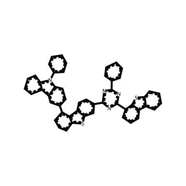 c1ccc(-c2nc(-c3ccc4c(c3)sc3cccc(-c5ccc6c(c5)c5ccccc5n6-c5ccccc5)c34)nc(-c3cccc4c3sc3ccccc34)n2)cc1